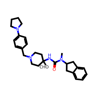 CN(C(=O)NC1(C=O)CCN(Cc2ccc(N3CCCC3)cc2)CC1)C1Cc2ccccc2C1